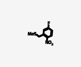 CSCc1cc(F)ccc1[N+](=O)[O-]